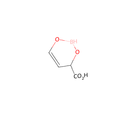 O=C(O)C1C=COBO1